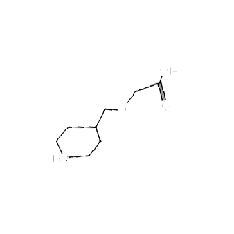 O=C(O)COCC1CCNCC1